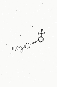 C=CC(=O)N1CCC(C#Cc2cccc(C(F)(F)F)c2)CC1